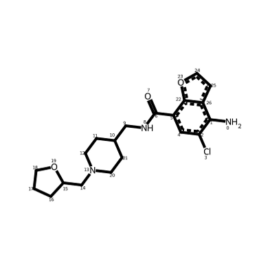 Nc1c(Cl)cc(C(=O)NCC2CCN(CC3CCCO3)CC2)c2occc12